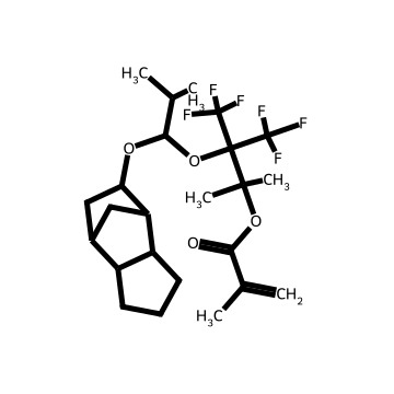 C=C(C)C(=O)OC(C)(C)C(OC(OC1CC2CC1C1CCCC21)C(C)C)(C(F)(F)F)C(F)(F)F